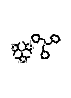 Cc1n[nH]c(C)c1B(c1c(C)n[nH]c1C)c1c(C)n[nH]c1C.c1ccc([CH2][Zr]([CH2]c2ccccc2)[CH2]c2ccccc2)cc1